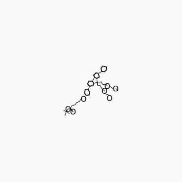 COCCOCCCC1(CCCOCCOC)c2cc(-c3ccccc3)ccc2-c2ccc(-c3ccc(OCCCCCC(=O)OC(C)(C)C)cc3)cc21